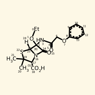 CCO[C@]1(NC(=O)COc2ccccc2)C(=O)N2[C@@H](C(=O)O)C(C)(C)S[C@@H]21